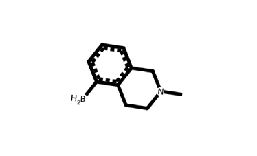 Bc1cccc2c1CCN(C)C2